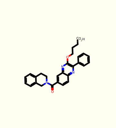 O=C(O)CCCOc1nc2cc(C(=O)N3CCc4ccccc4C3)ccc2nc1-c1ccccc1